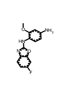 COc1cc(N)ccc1Nc1nc2ccc(F)cc2o1